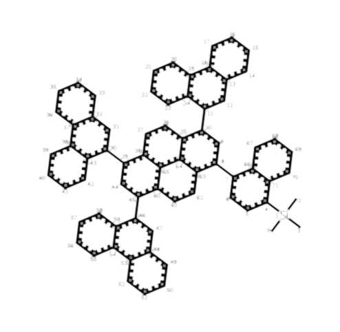 C[Si](C)(C)c1ccc(-c2cc(-c3cc4ccccc4c4ccccc34)c3ccc4c(-c5cc6ccccc6c6ccccc56)cc(-c5cc6ccccc6c6ccccc56)c5ccc2c3c54)c2ccccc12